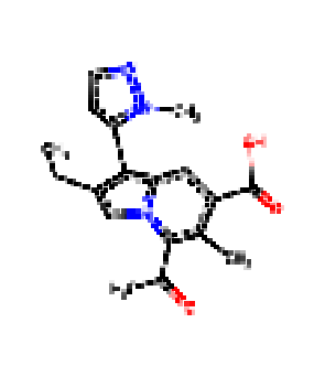 CCc1cn2c(C(C)=O)c(C)c(C(=O)O)cc2c1-c1ccnn1C